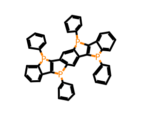 c1ccc(-p2c3ccccc3c3c2c2cc4c(cc2p3-c2ccccc2)c2c(c3ccccc3p2-c2ccccc2)p4-c2ccccc2)cc1